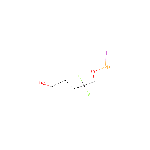 OCCCC(F)(F)COPI